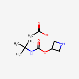 CC(=O)O.CC(C)(C)NC(=O)OC1CNC1